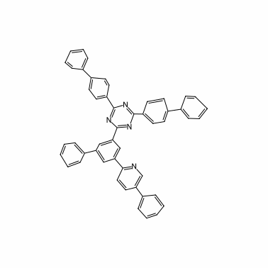 c1ccc(-c2ccc(-c3nc(-c4ccc(-c5ccccc5)cc4)nc(-c4cc(-c5ccccc5)cc(-c5ccc(-c6ccccc6)cn5)c4)n3)cc2)cc1